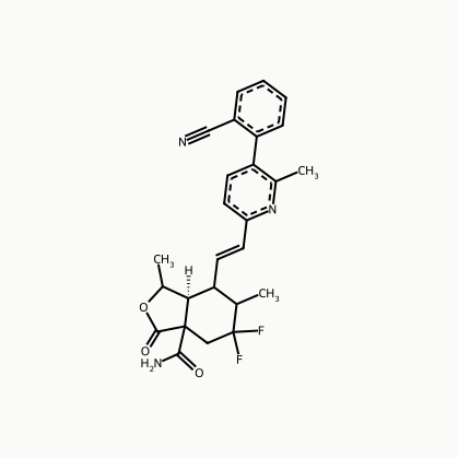 Cc1nc(C=CC2C(C)C(F)(F)CC3(C(N)=O)C(=O)OC(C)[C@@H]23)ccc1-c1ccccc1C#N